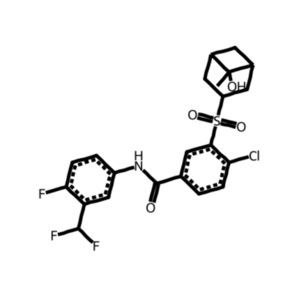 CC1(O)C2CC1CC(S(=O)(=O)c1cc(C(=O)Nc3ccc(F)c(C(F)F)c3)ccc1Cl)C2